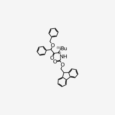 CC[C@H](C)[C@H](NC(=O)OCC1c2ccccc2-c2ccccc21)C(=O)[C](OCc1ccccc1)c1ccccc1